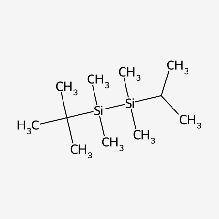 CC(C)[Si](C)(C)[Si](C)(C)C(C)(C)C